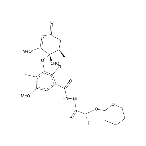 COC1=CC(=O)C[C@@H](C)[C@]1(C=O)Oc1c(C)c(OC)cc(C(=O)NNC(=O)[C@@H](C)OC2CCCCO2)c1Cl